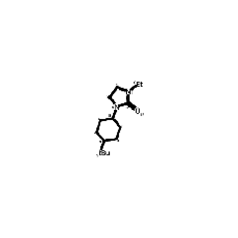 CCN1CCN(C2CCC(C(C)(C)C)CC2)C1=O